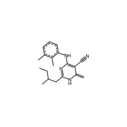 C=C1NC(CC(C)CC)=NC(Nc2cccc(C)c2C)=C1C#N